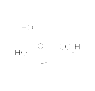 CCO.O=C(O)OO